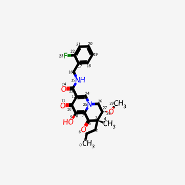 CCC[C@]1(C)C(=O)c2c(O)c(=O)c(C(=O)NCc3ccccc3F)cn2C[C@@H]1OC